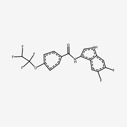 O=C(Nc1c[nH]c2cc(F)c(F)cc12)c1ccc(OC(F)(F)C(F)F)cc1